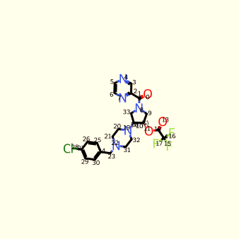 O=C(c1cnccn1)N1C[C@H](OC(=O)C(F)(F)F)[C@@H](N2CCN(Cc3ccc(Cl)cc3)CC2)C1